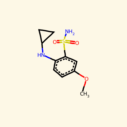 COc1ccc(NC2CC2)c(S(N)(=O)=O)c1